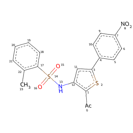 CC(=O)c1sc(-c2ccc([N+](=O)[O-])cc2)cc1NS(=O)(=O)c1ccccc1C